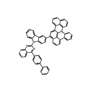 c1ccc(-c2ccc(-c3nc(-n4c5ccccc5c5cc(-c6cc7c8c9c(cccc69)-c6ccccc6N8c6cccc8cccc-7c68)ccc54)nc4ccccc34)cc2)cc1